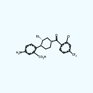 CC[C@@H]1CN(C(=O)c2ccc(C(F)(F)F)cc2Cl)CCN1c1ccc(N)cc1C(=O)O